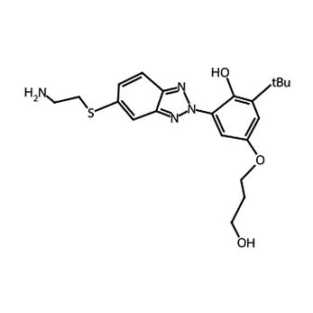 CC(C)(C)c1cc(OCCCO)cc(-n2nc3ccc(SCCN)cc3n2)c1O